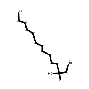 CC(O)(CO)CCCCCCCCCCO